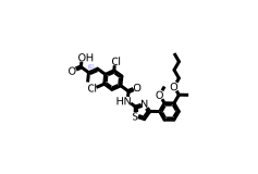 CCCCOC(C)c1cccc(-c2csc(NC(=O)c3cc(Cl)c(/C=C(\C)C(=O)O)c(Cl)c3)n2)c1OC